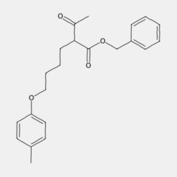 CC(=O)C(CCCCOc1ccc(C)cc1)C(=O)OCc1ccccc1